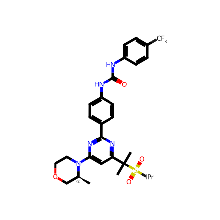 CC(C)S(=O)(=O)C(C)(C)c1cc(N2CCOC[C@@H]2C)nc(-c2ccc(NC(=O)Nc3ccc(C(F)(F)F)cc3)cc2)n1